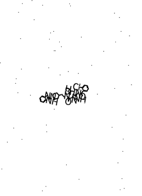 O=C(Nc1[nH]nc(C(=O)NCCC2CCN(c3nc4ccccc4[nH]3)CC2)c1Br)c1ccccc1Cl